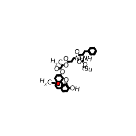 CC(OC(=O)CCNC(=O)C(Cc1ccccc1)NC(=O)OC(C)(C)C)C(=O)OC1=CCC2(O)C3Cc4ccc(O)c5c4C2(CCN3C)C1O5